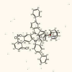 N#Cc1cc(-n2c3ccc(-c4ccccc4)cc3c3cc(-c4ccccc4)ccc32)c(-n2c3ccc(-c4ccccc4)cc3c3cc(-c4ccccc4)ccc32)cc1-c1c(C(F)(F)F)cccc1C(F)(F)F